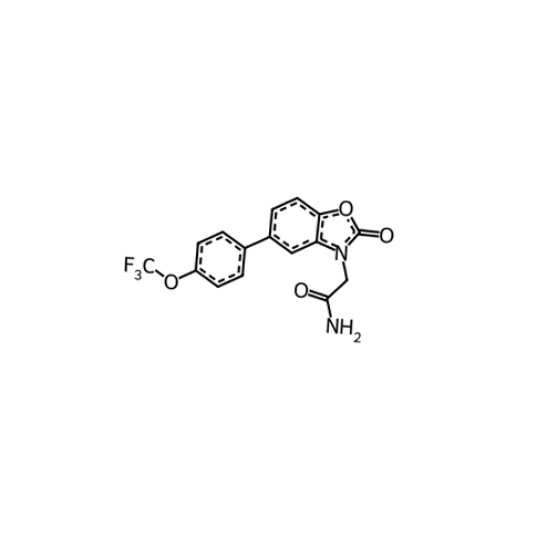 NC(=O)Cn1c(=O)oc2ccc(-c3ccc(OC(F)(F)F)cc3)cc21